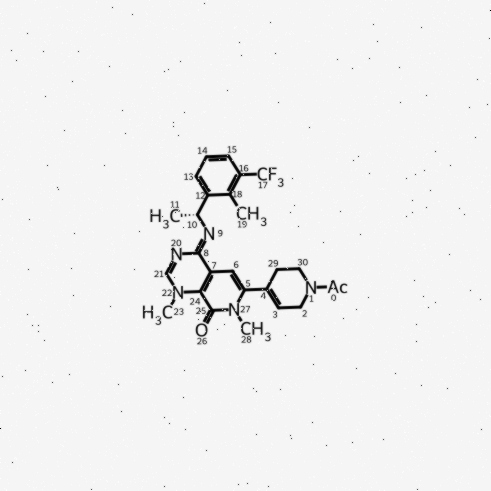 CC(=O)N1CC=C(c2cc3/c(=N/[C@H](C)c4cccc(C(F)(F)F)c4C)ncn(C)c3c(=O)n2C)CC1